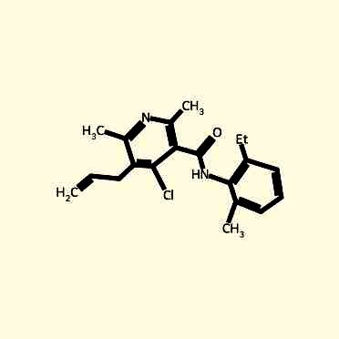 C=CCc1c(C)nc(C)c(C(=O)Nc2c(C)cccc2CC)c1Cl